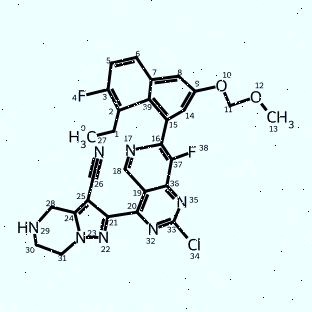 CCc1c(F)ccc2cc(OCOC)cc(-c3ncc4c(-c5nn6c(c5C#N)CNCC6)nc(Cl)nc4c3F)c12